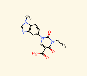 CCn1c(=O)c(C(=O)O)cn(-c2ccc3c(c2)ncn3C)c1=O